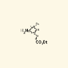 CCOC(=O)/C=C/c1cc(N)cc(F)c1